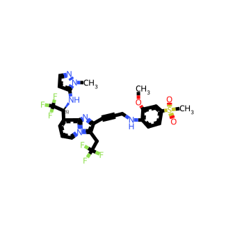 COc1cc(S(C)(=O)=O)ccc1NCC#Cc1nc2c([C@H](Nc3ccnn3C)C(F)(F)F)cccn2c1CC(F)(F)F